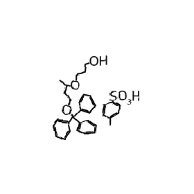 CC(CCOC(c1ccccc1)(c1ccccc1)c1ccccc1)OCCCO.Cc1ccc(S(=O)(=O)O)cc1